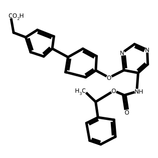 CC(OC(=O)Nc1cncnc1Oc1ccc(-c2ccc(CC(=O)O)cc2)cc1)c1ccccc1